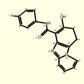 O=C(Nc1ccc(F)cc1)C1=C(O)CCc2c1nc1ccccn21